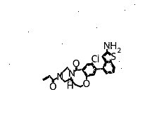 C=CC(=O)N1CCN2C(=O)c3cc(Cl)c(-c4cccc5sc(N)cc45)cc3OCC[C@H]2C1